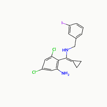 Nc1cc(Cl)cc(Cl)c1C(NCc1cccc(I)c1)=C1CC1